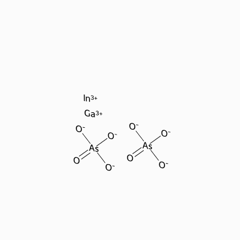 O=[As]([O-])([O-])[O-].O=[As]([O-])([O-])[O-].[Ga+3].[In+3]